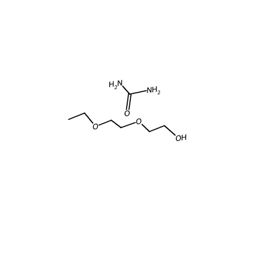 CCOCCOCCO.NC(N)=O